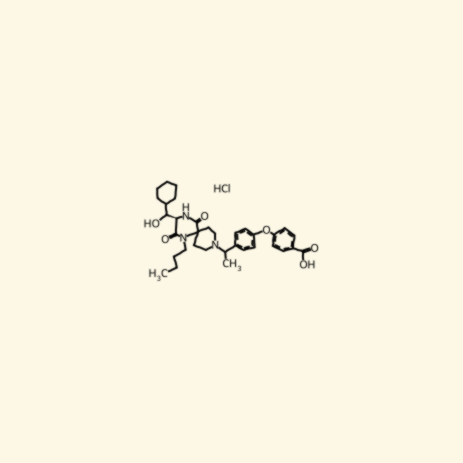 CCCCN1C(=O)[C@@H](C(O)C2CCCCC2)NC(=O)C12CCN(C(C)c1ccc(Oc3ccc(C(=O)O)cc3)cc1)CC2.Cl